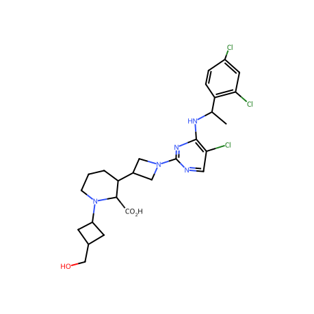 CC(Nc1nc(N2CC(C3CCCN(C4CC(CO)C4)C3C(=O)O)C2)ncc1Cl)c1ccc(Cl)cc1Cl